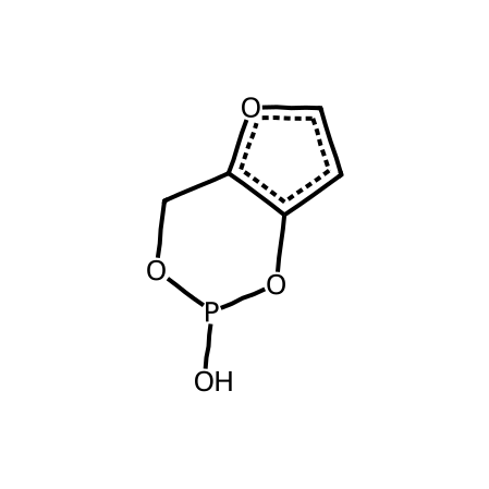 OP1OCc2occc2O1